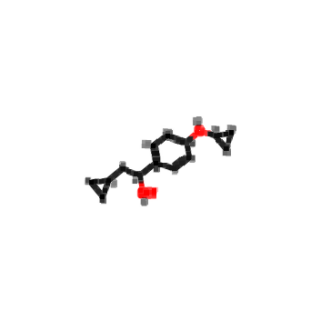 OC(CC1CC1)c1ccc(OC2CC2)cc1